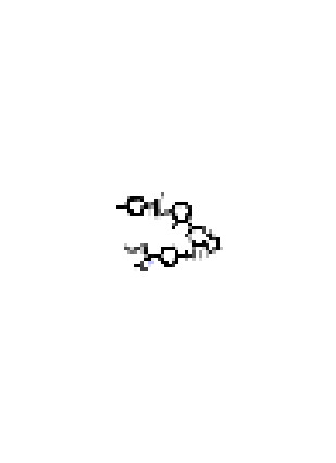 C/N=C(\NC)c1ccc(Nc2nc(-c3cccc(NC(=O)c4ccc(C)cc4)c3C)cn3ccnc23)cc1